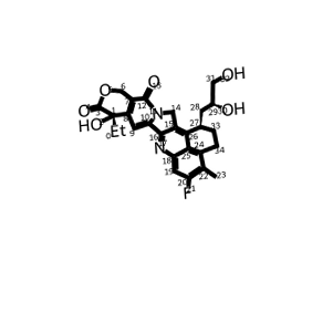 CC[C@@]1(O)C(=O)OCc2c1cc1n(c2=O)Cc2c-1nc1cc(F)c(C)c3c1c2[C@@H](C[C@H](O)CO)CC3